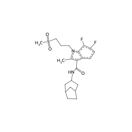 Cc1c(C(=O)NC2CC3CCC(C3)C2)c2ccc(F)c(F)c2n1CCCS(C)(=O)=O